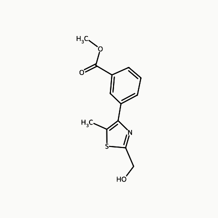 COC(=O)c1cccc(-c2nc(CO)sc2C)c1